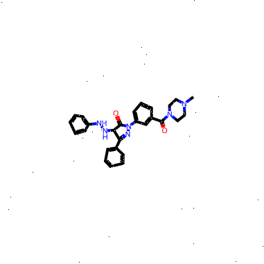 CN1CCN(C(=O)c2cccc(N3N=C(c4ccccc4)C(NNc4ccccc4)C3=O)c2)CC1